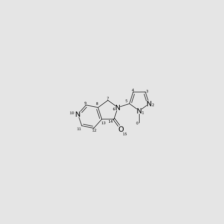 Cn1nccc1N1Cc2cnccc2C1=O